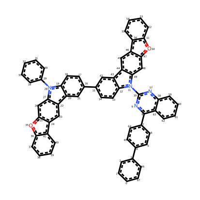 c1ccc(-c2ccc(-c3nc(-n4c5ccc(-c6ccc7c(c6)c6cc8c(cc6n7-c6ccccc6)oc6ccccc68)cc5c5cc6c(cc54)oc4ccccc46)nc4ccccc34)cc2)cc1